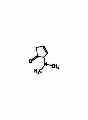 CN(C)C1C=CCC1=O